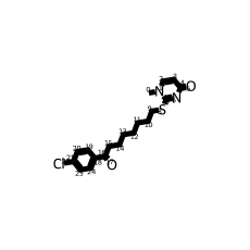 Cn1ccc(=O)nc1SCCCCCCCC(=O)c1ccc(Cl)cc1